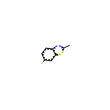 Cc1nc2ccc(F)cc2s1